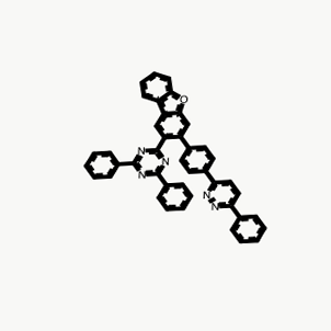 c1ccc(-c2ccc(-c3ccc(-c4cc5oc6ccccc6c5cc4-c4nc(-c5ccccc5)nc(-c5ccccc5)n4)cc3)nn2)cc1